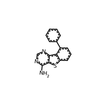 Nc1ncnc2c1sc1cccc(-c3ccccc3)c12